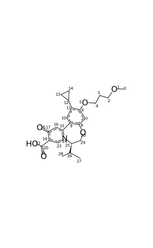 COCCCOc1cc2c(cc1C1CC1)-c1cc(=O)c(C(=O)O)cn1[C@H](C(C)C)CO2